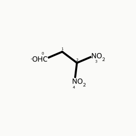 O=[C]CC([N+](=O)[O-])[N+](=O)[O-]